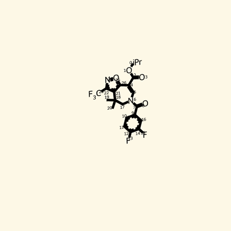 CC(C)OC(=O)C1=CN(C(=O)c2ccc(F)c(F)c2)CC(C)(C)c2c(C(F)(F)F)noc21